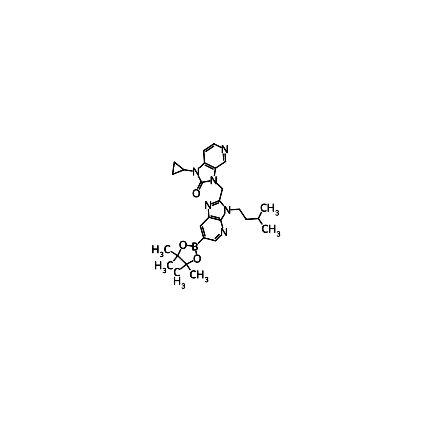 CC(C)CCn1c(Cn2c(=O)n(C3CC3)c3ccncc32)nc2cc(B3OC(C)(C)C(C)(C)O3)cnc21